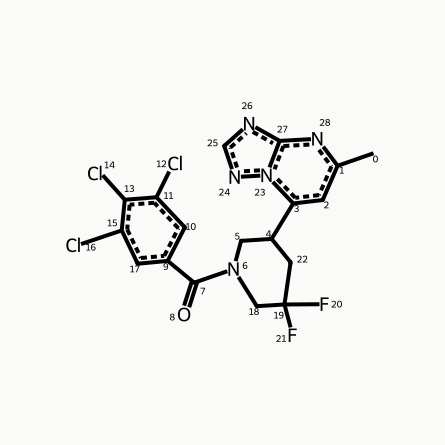 Cc1cc(C2CN(C(=O)c3cc(Cl)c(Cl)c(Cl)c3)CC(F)(F)C2)n2ncnc2n1